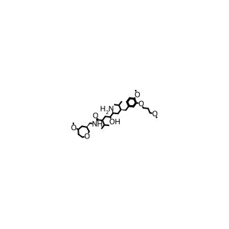 COCCCOc1cc(C[C@@H](C[C@H](N)C(O)CC(C(=O)NC[C@H]2COCCC(OC)C2)C(C)C)C(C)C)ccc1OC